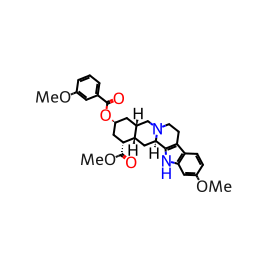 COC(=O)[C@@H]1C[C@H](OC(=O)c2cccc(OC)c2)C[C@@H]2CN3CCc4c([nH]c5cc(OC)ccc45)[C@H]3C[C@@H]21